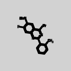 CNc1cc2c(C(C)C)nc(-c3ccccc3C)nc2cc1F